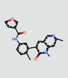 Cc1cc2c(cn1)cc(-c1cc(NC(=O)c3ccoc3)ccc1C)c(=O)n2C